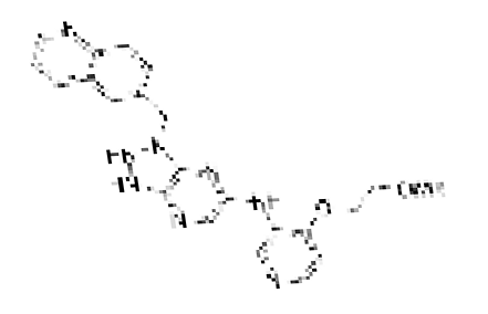 COCCOc1ccncc1Nc1cnc2c(n1)N(Cc1ccc3ncccc3c1)NN2